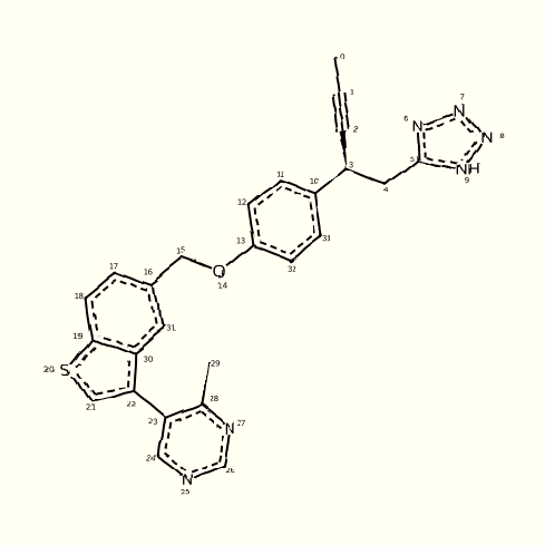 CC#C[C@@H](Cc1nnn[nH]1)c1ccc(OCc2ccc3scc(-c4cncnc4C)c3c2)cc1